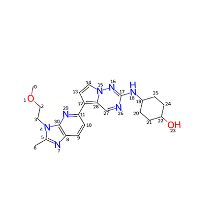 COCCn1c(C)nc2ccc(-c3ccn4nc(NC5CCC(O)CC5)ncc34)nc21